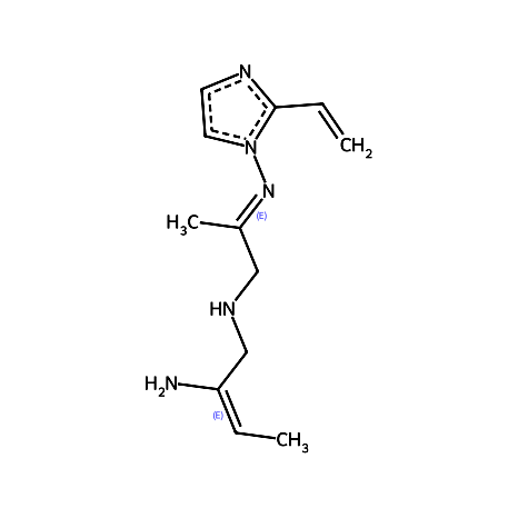 C=Cc1nccn1/N=C(\C)CNC/C(N)=C\C